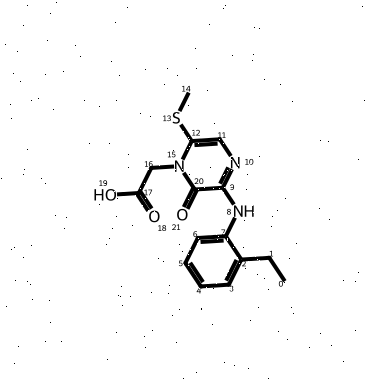 CCc1ccccc1Nc1ncc(SC)n(CC(=O)O)c1=O